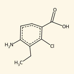 CCc1c(N)ccc(C(=O)O)c1Cl